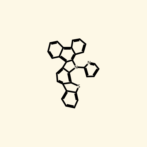 c1ccc(-n2c3c(ccc4c5ccccc5sc43)c3c4ccccc4c4ccccc4c32)nc1